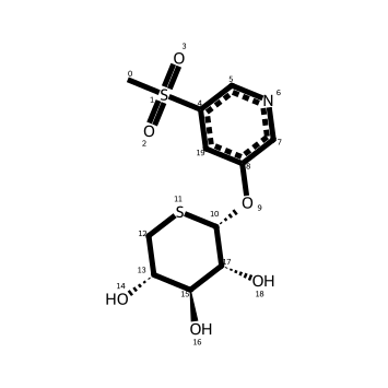 CS(=O)(=O)c1cncc(O[C@H]2SC[C@@H](O)[C@H](O)[C@H]2O)c1